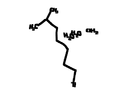 CC(C)CCCC[CH2][Ti].O.O.O